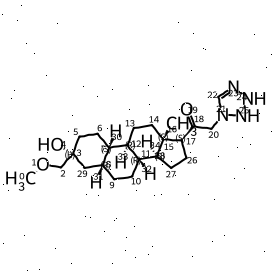 COC[C@@]1(O)CC[C@H]2[C@H](CC[C@@H]3[C@@H]2CC[C@]2(C)[C@@H](C(=O)CN4C=NNN4)CC[C@@H]32)C1